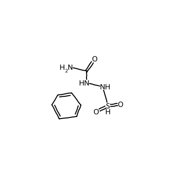 NC(=O)NN[SH](=O)=O.c1ccccc1